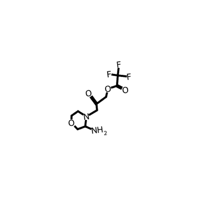 NC1COCCN1CC(=O)COC(=O)C(F)(F)F